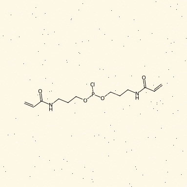 C=CC(=O)NCCCOP(Cl)OCCCNC(=O)C=C